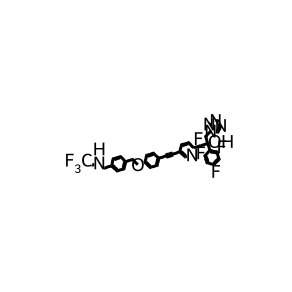 OC(Cn1cnnn1)(c1ccc(F)cc1F)C(F)(F)c1ccc(C#Cc2ccc(OCc3ccc(CNCC(F)(F)F)cc3)cc2)cn1